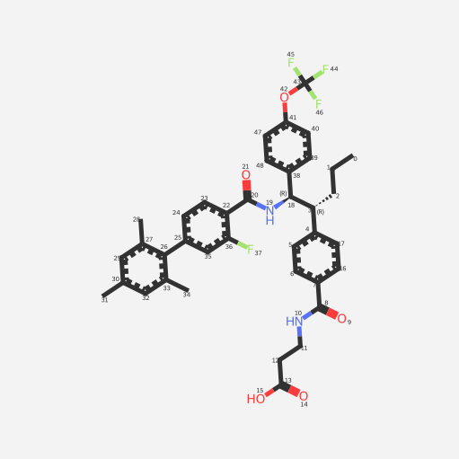 CCC[C@H](c1ccc(C(=O)NCCC(=O)O)cc1)[C@@H](NC(=O)c1ccc(-c2c(C)cc(C)cc2C)cc1F)c1ccc(OC(F)(F)F)cc1